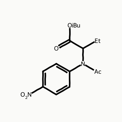 CCC(C(=O)OCC(C)C)N(C(C)=O)c1ccc([N+](=O)[O-])cc1